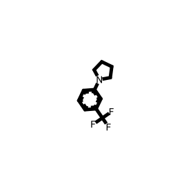 FC(F)(F)c1cccc(N2CCCC2)c1